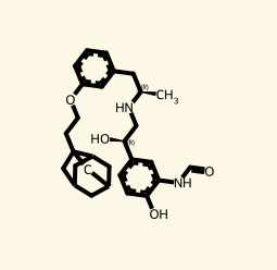 C[C@H](Cc1cccc(OCCC23CC4CC(CC2C4)C3)c1)NC[C@H](O)c1ccc(O)c(NC=O)c1